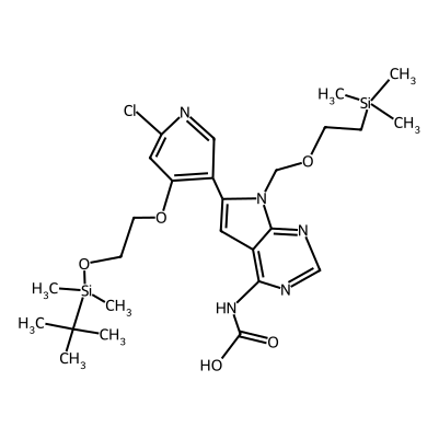 CC(C)(C)[Si](C)(C)OCCOc1cc(Cl)ncc1-c1cc2c(NC(=O)O)ncnc2n1COCC[Si](C)(C)C